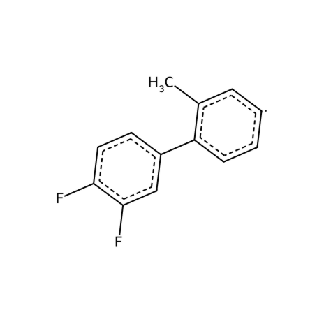 Cc1c[c]ccc1-c1ccc(F)c(F)c1